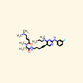 CCCN(C)c1nc(Nc2cccc(F)c2)ncc1C#CCCCNC(=O)[C@H](C)N(C)C(=O)/C=C/CN(C)C